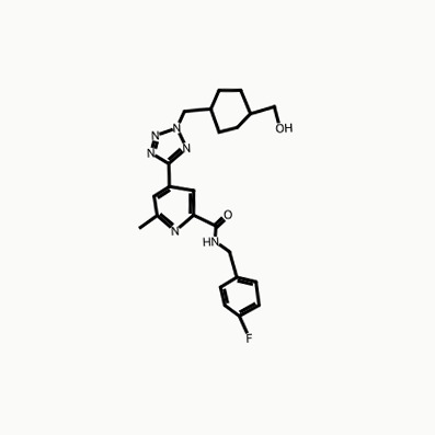 Cc1cc(-c2nnn(CC3CCC(CO)CC3)n2)cc(C(=O)NCc2ccc(F)cc2)n1